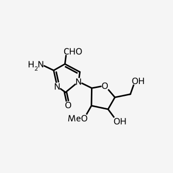 COC1C(O)C(CO)OC1n1cc(C=O)c(N)nc1=O